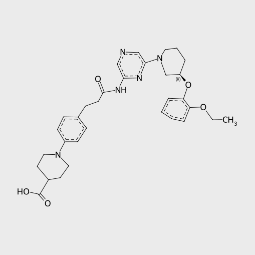 CCOc1ccccc1O[C@@H]1CCCN(c2cncc(NC(=O)CCc3ccc(N4CCC(C(=O)O)CC4)cc3)n2)C1